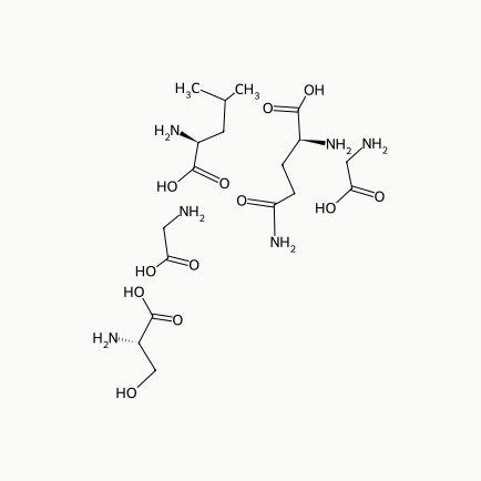 CC(C)C[C@H](N)C(=O)O.NC(=O)CC[C@H](N)C(=O)O.NCC(=O)O.NCC(=O)O.N[C@@H](CO)C(=O)O